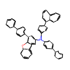 c1ccc(-c2ccc(-c3cc(N(c4ccc(-c5ccccc5)cc4)c4ccc(-c5cccc6ccccc56)cc4)cc4c3oc3ccccc34)cc2)cc1